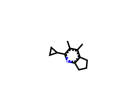 Cc1c(C2CC2)nc2c(c1C)CCC2